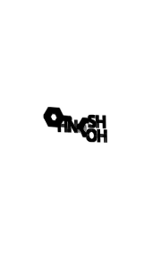 OC[C@H](CS)NCc1ccccc1